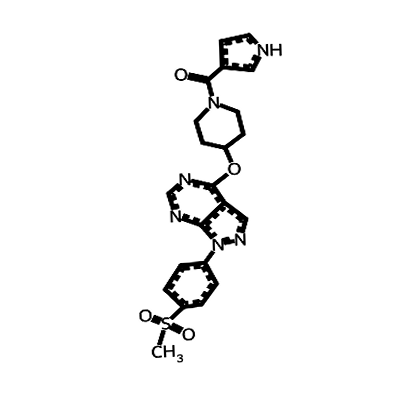 CS(=O)(=O)c1ccc(-n2ncc3c(OC4CCN(C(=O)c5cc[nH]c5)CC4)ncnc32)cc1